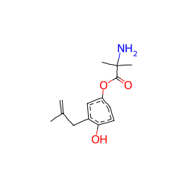 C=C(C)Cc1cc(OC(=O)C(C)(C)N)ccc1O